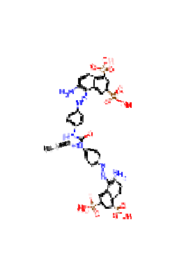 Nc1ccc2c(S(=O)(=O)O)cc(S(=O)(=O)O)cc2c1N=Nc1ccc(NC(=O)Nc2ccc(N=Nc3c(N)ccc4c(S(=O)(=O)O)cc(S(=O)(=O)O)cc34)cc2)cc1.[Na].[Na].[Na].[Na]